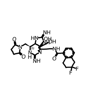 N=C1NC2[C@H](CN3C(=O)CCC3=O)NC(=N)N3CC(NC(=O)c4cccc5c4CCC(F)(F)C5)C(O)(O)C23N1